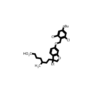 CCCCc1cc(Cl)c(COc2ccc3c(c2)OCC3(CC)CCC(C)CCCC(=O)O)c(Cl)c1